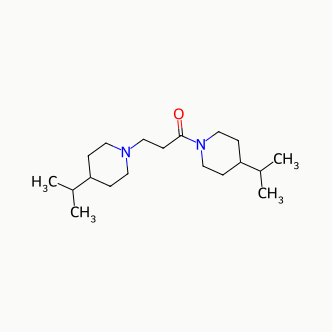 CC(C)C1CCN(CCC(=O)N2CCC(C(C)C)CC2)CC1